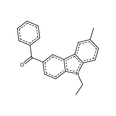 CCn1c2ccc(C)cc2c2cc(C(=O)c3ccccc3)ccc21